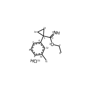 CCOC(=N)C1(c2cccc(C)c2)CC1.Cl